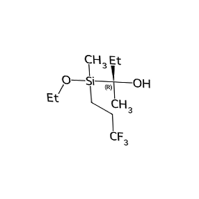 CCO[Si](C)(CCC(F)(F)F)[C@@](C)(O)CC